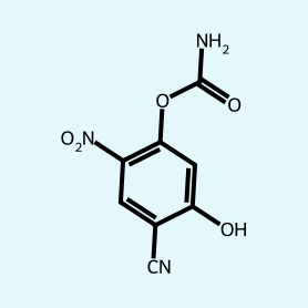 N#Cc1cc([N+](=O)[O-])c(OC(N)=O)cc1O